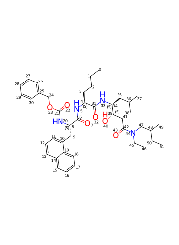 CCCC[C@H](NC(=O)[C@H](Cc1cccc2ccccc12)NC(=O)OCc1ccccc1)C(=O)N[C@@H](CC(C)C)[C@@H](O)CC(=O)N(CC)CC(C)CC